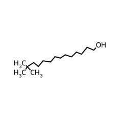 CC(C)(C)CCCCCCCCCCCCO